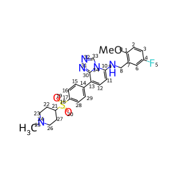 COc1ccc(F)cc1CNc1ccc(-c2ccc(S(=O)(=O)C3CCN(C)CC3)cc2)c2nncn12